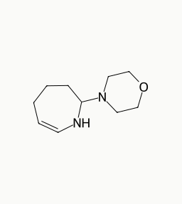 C1=CNC(N2CCOCC2)CCC1